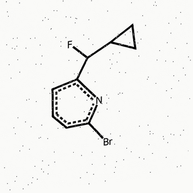 FC(c1cccc(Br)n1)C1CC1